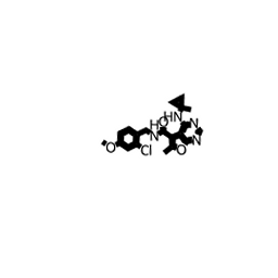 COc1ccc(CNC(=O)c2c(C)oc3ncnc(NC4(C)CC4)c23)c(Cl)c1